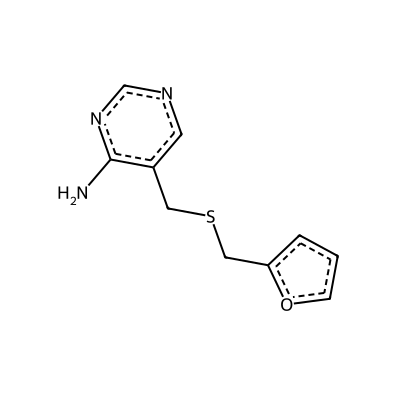 Nc1ncncc1CSCc1ccco1